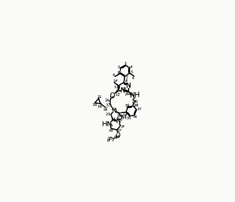 Cc1cccc(C)c1-c1nc2nc(c1C)OC[C@@H](CC1CC1)N(CC1=NCC(OC(C)C)CN1)C(O)c1cccc(c1)SN2